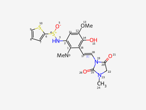 CNc1c(N[S+]([O-])c2cccs2)cc(OC)c(O)c1/C=C/N1C(=O)CN(C)C1=O